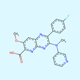 COc1cc2nc(-c3ccc(F)cc3)c(N(C)c3cccnc3)nc2nc1C(=O)O